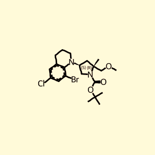 COC[C@@]1(C)C[C@H](N2CCCc3cc(Cl)cc(Br)c32)CN1C(=O)OC(C)(C)C